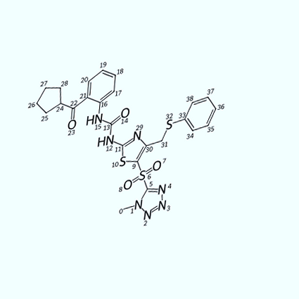 Cn1nnnc1S(=O)(=O)c1sc(NC(=O)Nc2ccccc2C(=O)C2CCCC2)nc1CSc1ccccc1